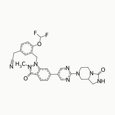 Cn1c(=O)c2ccc(-c3cnc(N4CCN5C(=O)NCC5C4)nc3)cc2n1Cc1cc(CC#N)ccc1OC(F)F